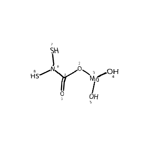 O=C([O][Mo]([OH])[OH])N(S)S